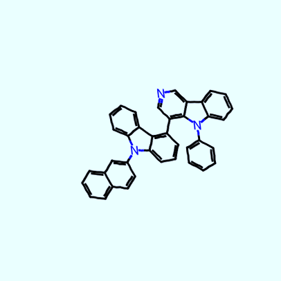 c1ccc(-n2c3ccccc3c3cncc(-c4cccc5c4c4ccccc4n5-c4ccc5ccccc5c4)c32)cc1